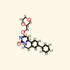 O=c1nc(OCC2COCCO2)cc2n1CCc1cc(-c3ccccc3)ccc1-2